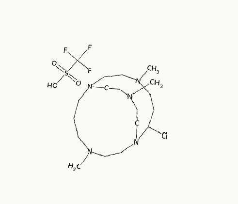 CN1CCC(Cl)N2CCN(C)CCCN(CC1)CCN(C)CC2.O=S(=O)(O)C(F)(F)F